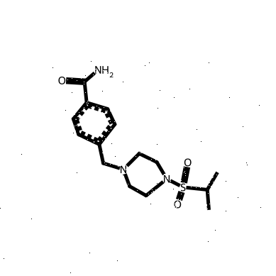 CC(C)S(=O)(=O)N1CCN(Cc2ccc(C(N)=O)cc2)CC1